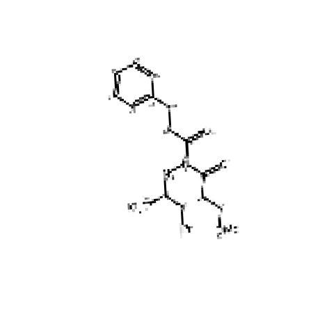 COCCC(=O)N(N[C@@H](CC(C)C)C(=O)O)C(=O)CCc1ccccc1